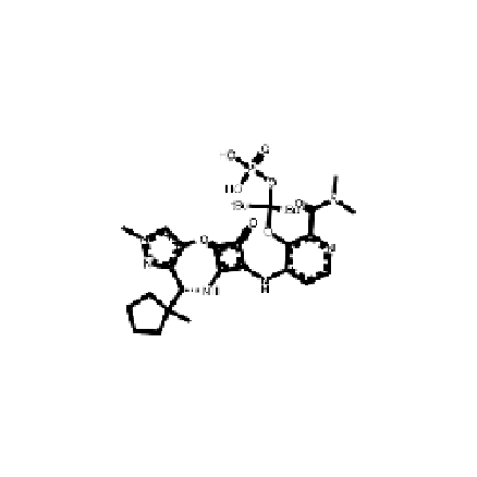 Cc1cn(C)nc1[C@H](Nc1c(Nc2ccnc(C(=O)N(C)C)c2OC(OP(=O)(O)O)(C(C)(C)C)C(C)(C)C)c(=O)c1=O)C1(C)CCCC1